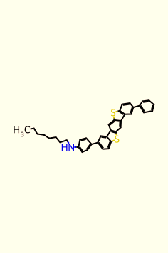 CCCCCCCCNc1ccc(-c2ccc3sc4cc5c(cc4c3c2)sc2ccc(-c3ccccc3)cc25)cc1